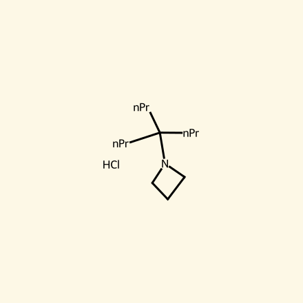 CCCC(CCC)(CCC)N1CCC1.Cl